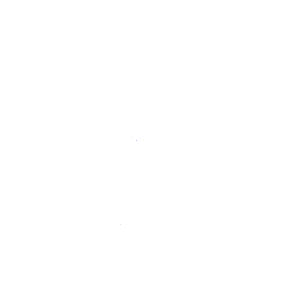 CC(C)CCC(=O)[N+]([O-])(C(=O)C(C)(C)CC(N)=O)C1CCCNCC1